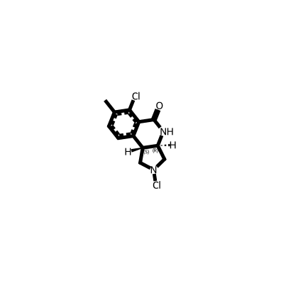 Cc1ccc2c(c1Cl)C(=O)N[C@H]1CN(Cl)C[C@H]21